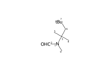 CN(C=O)C(C)(C)CC(C)(C)C